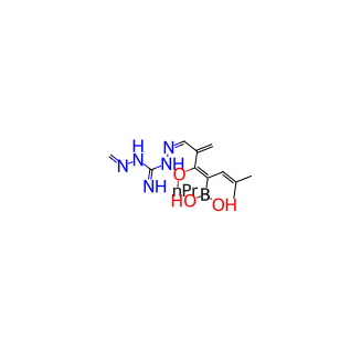 C=NNC(=N)N/N=C\C(=C)/C(OCCC)=C(\C=C(C)C)B(O)O